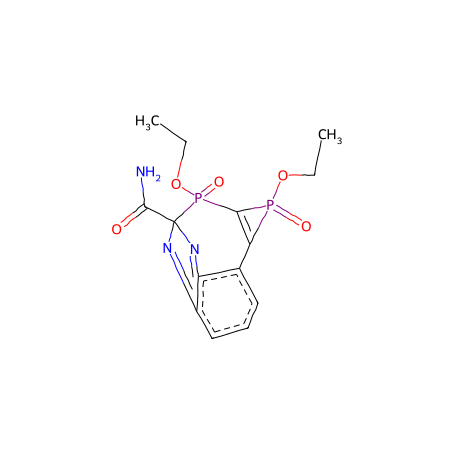 CCOP1(=O)C2=C1P(=O)(OCC)C1(C(N)=O)N=c3cccc2c3=N1